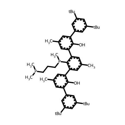 Cc1cc(-c2cc(C(C)(C)C)cc(C(C)(C)C)c2)c(O)c(-c2cc(C)cc(-c3cc(C)cc(-c4cc(C(C)(C)C)cc(C(C)(C)C)c4)c3O)c2P(C)CCCP(C)C)c1